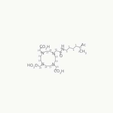 CC(=O)C(C)CCCCNC(=O)CN1CCN(CC(=O)O)CCN(CC(=O)O)CCN(CC(=O)O)CC1